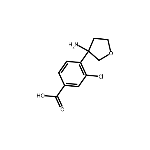 NC1(c2ccc(C(=O)O)cc2Cl)CCOC1